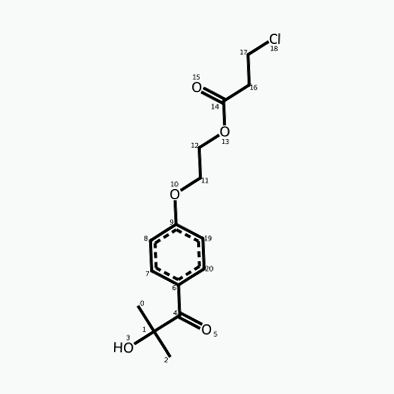 CC(C)(O)C(=O)c1ccc(OCCOC(=O)CCCl)cc1